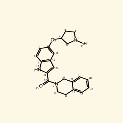 CC(C)N1CCC(Oc2ccc3[nH]c(C(=O)N4CCc5ccccc5C4)cc3c2)C1